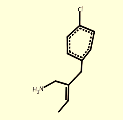 C/C=C(\CN)Cc1ccc(Cl)cc1